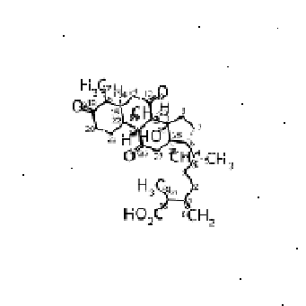 C=C(CC[C@@H](C)[C@H]1CC[C@@]2(O)[C@@H]3C(=O)C[C@H]4[C@H](C)C(=O)CC[C@]4(C)[C@H]3C(=O)C[C@]12C)C(C)C(=O)O